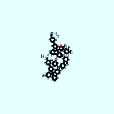 C=CC1C=CC(C2CC=C(C3(C4CC=C(F)CC4)C4C=CC=CC4C4C=CC(N(c5ccc(F)c(F)c5)c5ccc6c(c5)C5C=C(N(C7=CC=C(F)C(F)C7)c7ccc8c(c7)C(C7C=CC(F)=CC7)(C7C=CC(C9=CCC(C=C)CC9)=CC7)C7CCC=CC87)CCC5S6)=CC43)CC2)=CC1